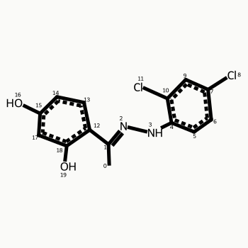 C/C(=N\Nc1ccc(Cl)cc1Cl)c1ccc(O)cc1O